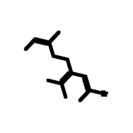 C/C=C(/C)CCC(/C=C(\C)Br)=C(C)C